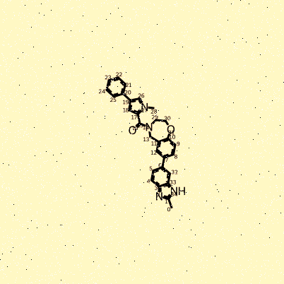 Cc1nc2ccc(-c3ccc4c(c3)CN(C(=O)c3cc(-c5ccccc5)cn3C)CCO4)cc2[nH]1